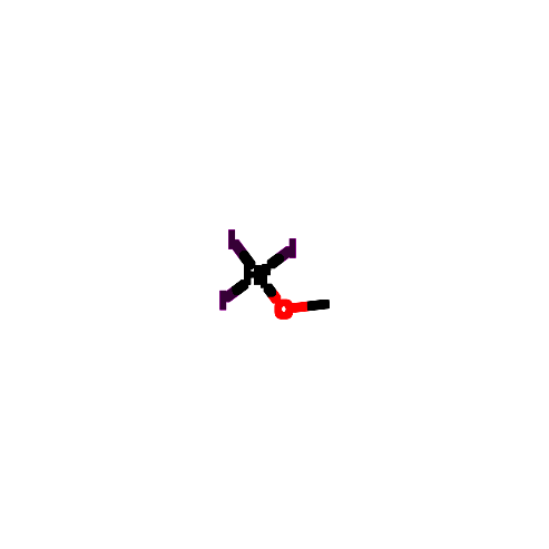 C[O][Hf]([I])([I])[I]